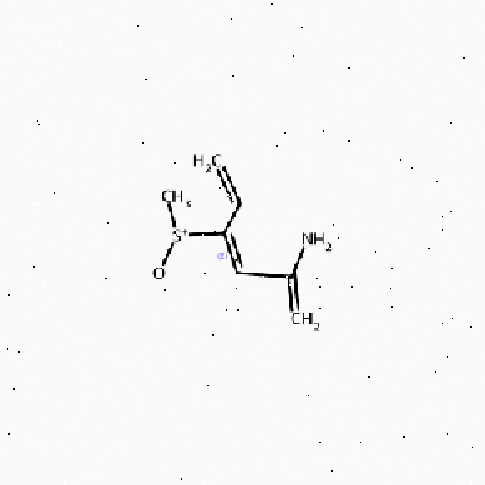 C=C/C(=C\C(=C)N)[S+](C)[O-]